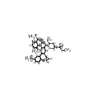 C=CC(=O)N1CCN(c2nc(=O)n(-c3c(C)ccnc3C(C)C)c3nc(-c4cc(OC)ccc4F)c(C4CC4)cc23)[C@@H](C)C1